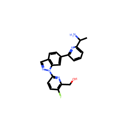 CC(N)c1cccc(-c2ccc3cnn(-c4ccc(F)c(CO)n4)c3c2)n1